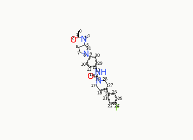 CC(=O)N(C)C1CCN(c2ccc(NC(=O)N3CC=C(c4ccc(F)cc4)CC3)cc2)C1